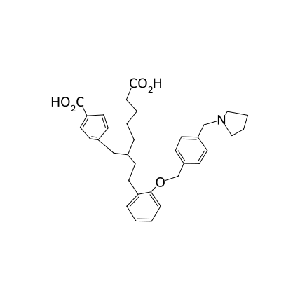 O=C(O)CCCCC(CCc1ccccc1OCc1ccc(CN2CCCC2)cc1)Cc1ccc(C(=O)O)cc1